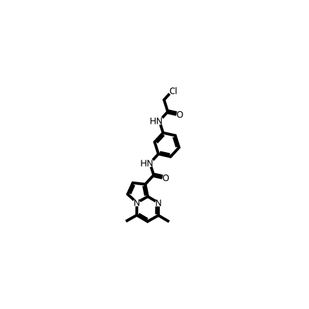 Cc1cc(C)n2ccc(C(=O)Nc3cccc(NC(=O)CCl)c3)c2n1